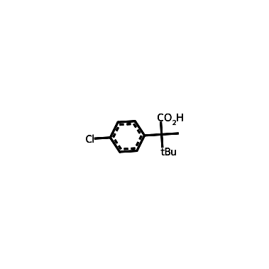 CC(C)(C)C(C)(C(=O)O)c1ccc(Cl)cc1